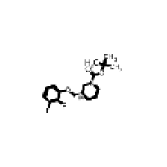 CC(C)(C)OC(=O)N1CCC[C@@H](COc2cccc(F)c2F)C1